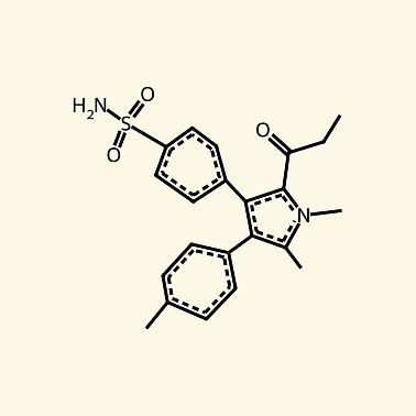 CCC(=O)c1c(-c2ccc(S(N)(=O)=O)cc2)c(-c2ccc(C)cc2)c(C)n1C